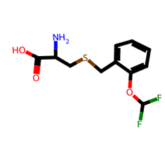 NC(CSCc1ccccc1OC(F)F)C(=O)O